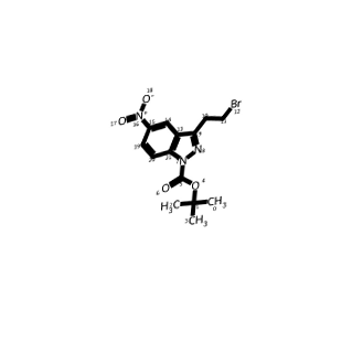 CC(C)(C)OC(=O)n1nc(CCBr)c2cc([N+](=O)[O-])ccc21